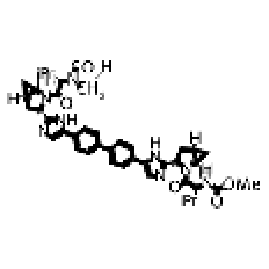 COC(=O)N[C@H](C(=O)N1[C@@H](c2ncc(-c3ccc(-c4ccc(-c5cnc([C@H]6C[C@H]7C[C@H]7N6C(=O)[C@H](C(C)C)N(C)C(=O)O)[nH]5)cc4)cc3)[nH]2)C[C@@H]2C[C@H]21)C(C)C